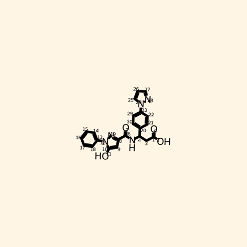 O=C(O)CC(NC(=O)c1cc(O)n(-c2ccccc2)n1)c1ccc(-n2cccn2)cc1